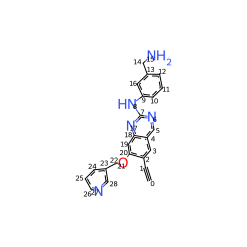 C#Cc1cc2cnc(Nc3cccc(CN)c3)nc2cc1OCc1cccnc1